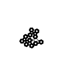 c1ccc(C2(c3ccccc3)c3ccccc3-c3ccc(N(c4cccc5c4sc4ccccc45)c4ccc(C5(c6ccccc6)c6ccccc6-c6ccccc65)c5oc6ccccc6c45)cc32)cc1